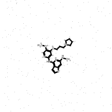 CNc1cc2sccc2c(Nc2cc(OCCCN3CCCC3)c(OC)cn2)n1